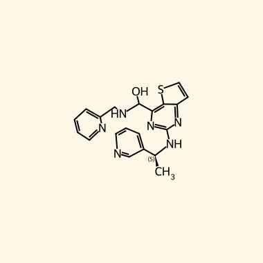 C[C@H](Nc1nc(C(O)NCc2ccccn2)c2sccc2n1)c1cccnc1